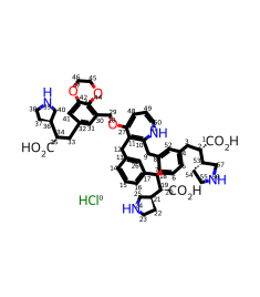 Cl.O=C(O)[C@@H](Cc1cccc(CC2=C(Cc3cccc(C[C@H](C(=O)O)[C@H]4CCNC4)c3)C(OCc3cc(C[C@H](C(=O)O)[C@H]4CCNC4)cc4c3OCCO4)=CC=CN2)c1)[C@H]1CCNC1